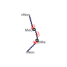 CCCCCCCCC/C=C/C=C/C=C/C=C/C=C/C(=O)Oc1ccc(/C=C/C(=O)CC(=O)/C=C/c2ccc(OC(=O)/C=C/C=C/C=C/C=C/C=C/CCCCCCCCC)c(OC)c2)cc1OC